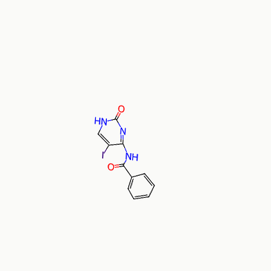 O=C(Nc1nc(=O)[nH]cc1I)c1ccccc1